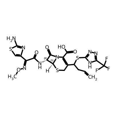 C=CCC(Sc1nnc(C(F)(F)F)[nH]1)C1=C(C(=O)O)N2C(=O)[C@@H](NC(=O)C(=NOC)c3csc(N)n3)[C@@H]2SC1